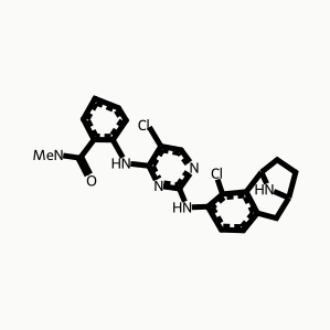 CNC(=O)c1ccccc1Nc1nc(Nc2ccc3c(c2Cl)C2CCC(C3)N2)ncc1Cl